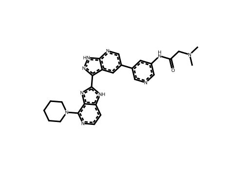 CN(C)CC(=O)Nc1cncc(-c2cnc3[nH]nc(-c4nc5c(N6CCCCC6)nccc5[nH]4)c3c2)c1